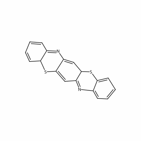 C1=CC2=NC3=CC4Sc5ccccc5N=C4C=C3SC2C=C1